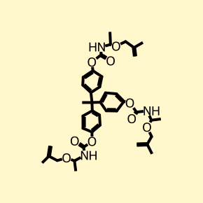 C=C(C)COC(C)NC(=O)Oc1ccc(C(C)(c2ccc(OC(=O)NC(C)OCC(=C)C)cc2)c2ccc(OC(=O)NC(C)OCC(=C)C)cc2)cc1